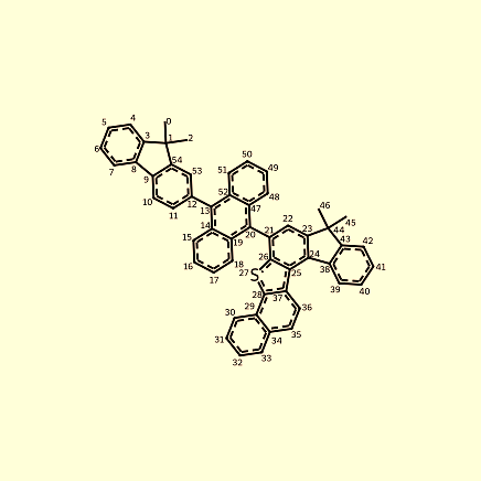 CC1(C)c2ccccc2-c2ccc(-c3c4ccccc4c(-c4cc5c(c6c4sc4c7ccccc7ccc46)-c4ccccc4C5(C)C)c4ccccc34)cc21